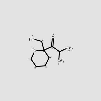 CC(C)C(=O)C1(CO)CCCCO1